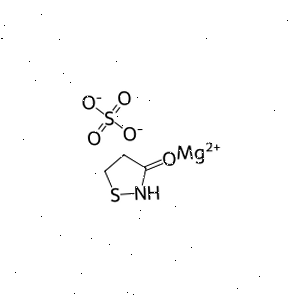 O=C1CCSN1.O=S(=O)([O-])[O-].[Mg+2]